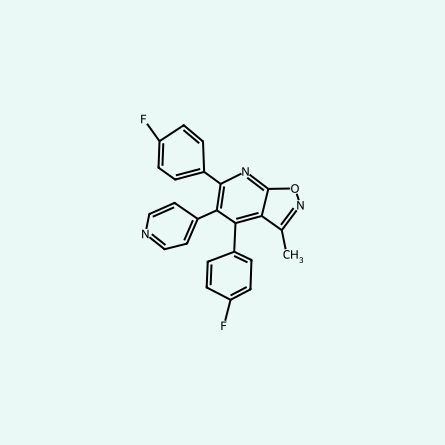 Cc1noc2nc(-c3ccc(F)cc3)c(-c3ccncc3)c(-c3ccc(F)cc3)c12